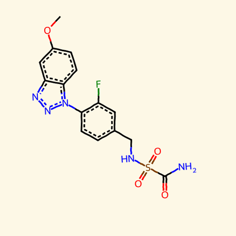 COc1ccc2c(c1)nnn2-c1ccc(CNS(=O)(=O)C(N)=O)cc1F